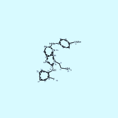 COc1ccc(Nc2ncc3nc(Nc4ccccc4F)n(CCN)c3n2)cc1